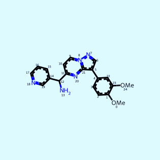 COc1ccc(-c2cnn3ccc(C(N)c4cccnc4)nc23)cc1OC